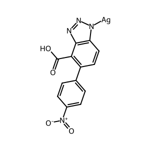 O=C(O)c1c(-c2ccc([N+](=O)[O-])cc2)ccc2c1nn[n]2[Ag]